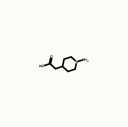 NN1CCC(CC(=O)O)CC1